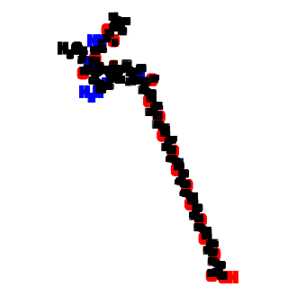 CCCN(OCCNC(=O)OC1CCC1)C(=O)C1=Cc2sc(CC3CN(C(=O)CCOCCOCCOCCOCCOCCOCCOCCOCCOCCOCCC(=O)O)C3)cc2N=C(N)C1